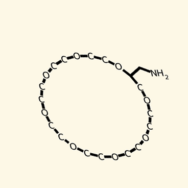 NCC1COCCOCCOCCOCCOCCOCCOCCO1